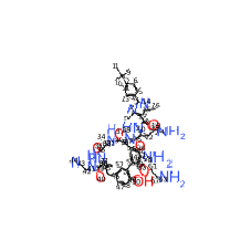 Cc1nc(-c2ccc(C(C)(C)C)cc2)nc(C)c1C(=O)NC(CCN)C(=O)N(C)[C@@H]1C(=O)N[C@@H](C)C(=O)N[C@H](C(=O)NCC#N)Cc2ccc(O)c(c2)-c2cc1cc(N)c2OCCN